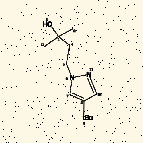 CC(C)(O)CCn1cc(C(C)(C)C)cn1